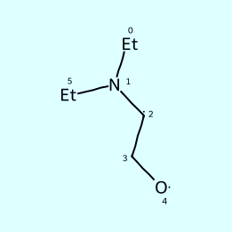 CCN([CH]C[O])CC